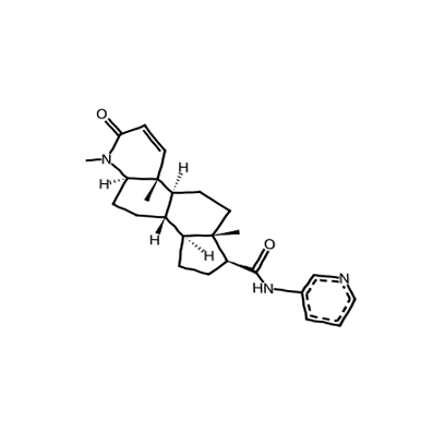 CN1C(=O)C=C[C@]2(C)[C@H]3CC[C@]4(C)[C@@H](C(=O)Nc5cccnc5)CC[C@H]4[C@@H]3CC[C@@H]12